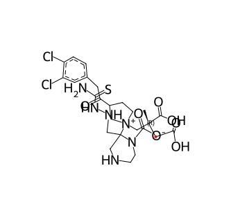 C[C@@](CC(=O)O)(C[N+]1(C2(CNNC(N)=S)CNCCN2C(=O)[O-])CCC(C(=O)Cc2ccc(Cl)c(Cl)c2)C1)C(=O)O